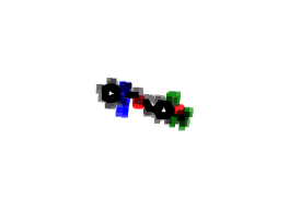 FC(F)(F)Oc1ccc(CCOCc2nc3ccccc3[nH]2)cc1Cl